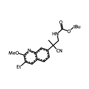 CCc1cc2ccc(C(C)(C#N)CNC(=O)OC(C)(C)C)cc2nc1OC